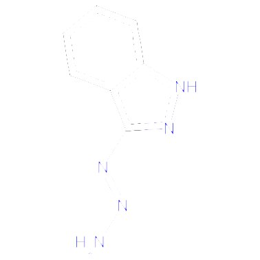 NN=Nc1n[nH]c2ccccc12